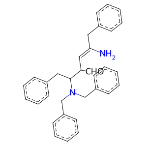 NC(=CC(C=O)C(Cc1ccccc1)N(Cc1ccccc1)Cc1ccccc1)Cc1ccccc1